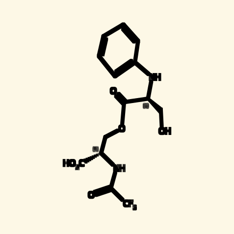 O=C(O)[C@H](COC(=O)[C@H](CO)Nc1ccccc1)NC(=O)C(F)(F)F